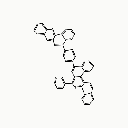 c1ccc(-c2nc3c4ccccc4ccc3c3c2cc(-c2ccc(-c4cc5cc6ccccc6nc5c5ccccc45)cc2)c2ccccc23)cc1